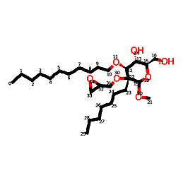 CCCCCCCCCCCO[C@H]1[C@H](O)[C@@H](CO)OC(OC)[C@]1(CCCCCCC)OCC1CO1